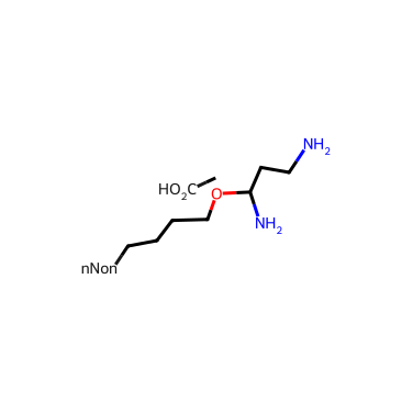 CC(=O)O.CCCCCCCCCCCCCOC(N)CCN